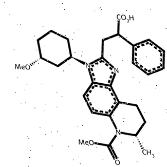 COC(=O)N1c2ccc3c(nc(CC(C(=O)O)c4ccccc4)n3[C@@H]3CCC[C@@H](OC)C3)c2CC[C@@H]1C